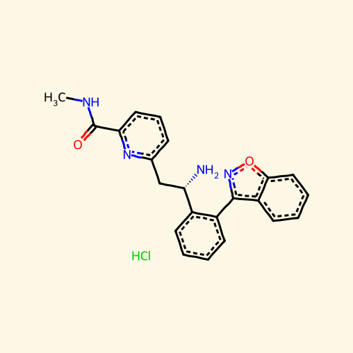 CNC(=O)c1cccc(C[C@H](N)c2ccccc2-c2noc3ccccc23)n1.Cl